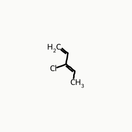 C=C/C(Cl)=C/C